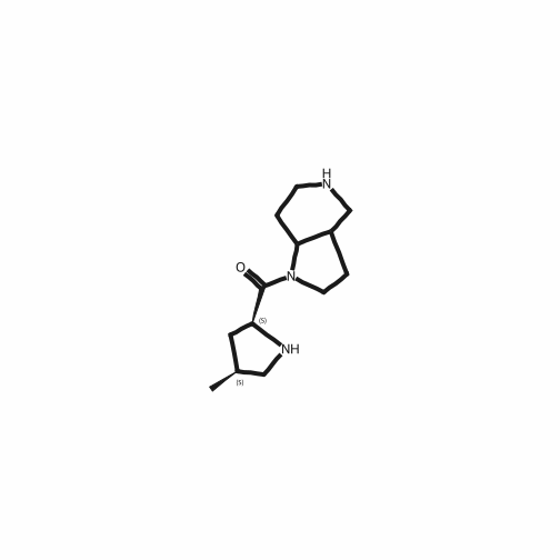 C[C@@H]1CN[C@H](C(=O)N2CCC3CNCCC32)C1